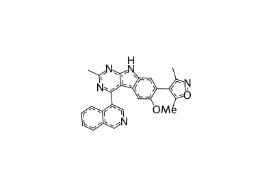 COc1cc2c(cc1-c1c(C)noc1C)[nH]c1nc(C)nc(-c3cncc4ccccc34)c12